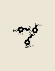 O=C(/C=C/c1ccc(O)c(O)c1)O[C@@H]1CCC(C(=O)O)C[C@H]1OC(=O)/C=C/c1ccc(O)c(O)c1